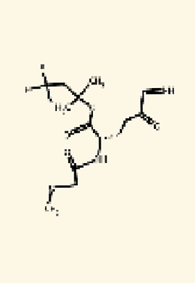 COCC(=O)N[C@@H](CCC(=O)C=N)C(=O)OC(C)(C)CC(F)(F)F